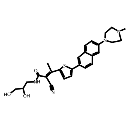 C/C(=C(/C#N)C(=O)NCC(O)CO)c1ccc(-c2ccc3cc(N4CCN(C)CC4)ccc3c2)s1